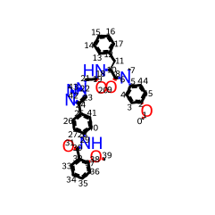 COc1ccc(N(C)C(=O)[C@H](Cc2ccccc2)NC(=O)Cn2cc(-c3ccc(NC(=O)c4ccccc4OC)cc3)nn2)cc1